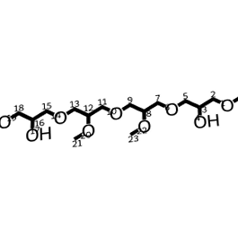 COCC(O)COCC(COCC(COCC(O)CO)OC)OC